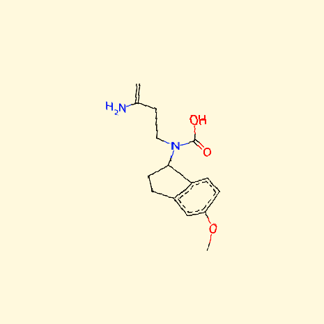 C=C(N)CCN(C(=O)O)C1CCc2cc(OC)ccc21